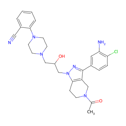 CC(=O)N1CCc2c(c(-c3ccc(Cl)c(N)c3)nn2CC(O)CN2CCN(c3ccccc3C#N)CC2)C1